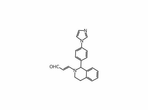 O=CC=CN1CCc2ccccc2C1c1ccc(-n2ccnc2)cc1